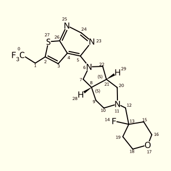 FC(F)(F)Cc1cc2c(N3C[C@H]4CCN(CC5(F)CCOCC5)C[C@H]4C3)ncnc2s1